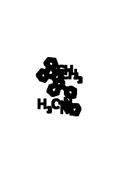 CCc1nc2ccccc2n1-c1cccc(-c2cc3c(c4ccccc24)-c2c(c4ccccc4c4ccccc24)C3(C)C)c1